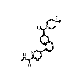 CNC(=O)c1ncc(-c2cccc3cc(C(=O)N4CCC(F)(F)CC4)ccc23)cn1